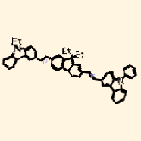 CCn1c2ccccc2c2cc(/C=C/c3ccc4c(c3)C(CC)(CC)C3C=C(/C=C/c5ccc6c(c5)c5ccccc5n6-c5ccccc5)C=CC43)ccc21